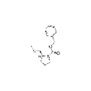 CSC[C@@H]1CCCN1C(=O)OCc1ccccc1